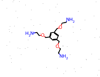 NCCOCc1cc(COCCN)cc(COCCN)c1